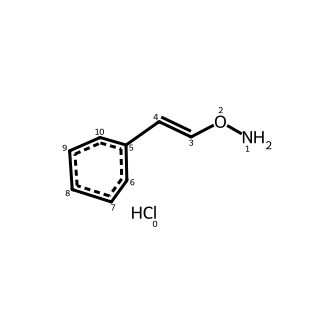 Cl.NOC=Cc1ccccc1